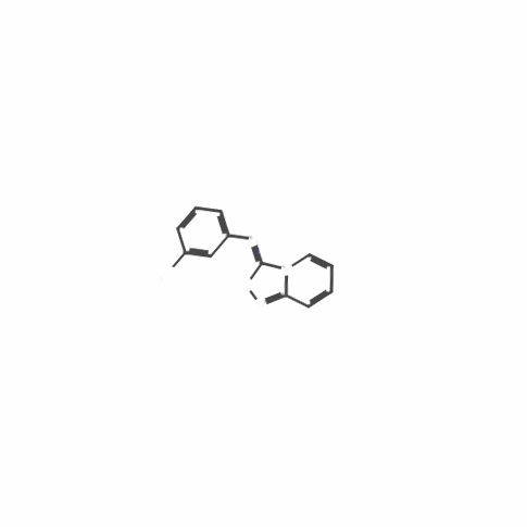 FC(F)(F)c1cccc(/N=c2\snc3ccccn23)c1